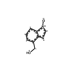 OCc1cccc2c1n[c]n2Cl